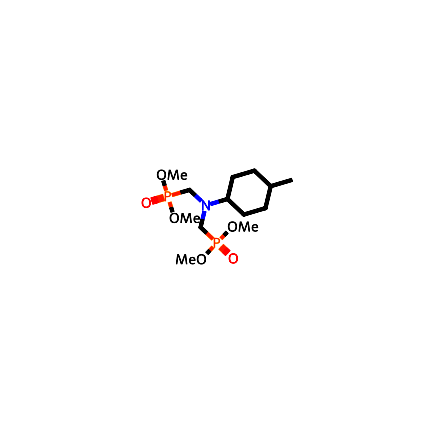 COP(=O)(CN(CP(=O)(OC)OC)C1CCC(C)CC1)OC